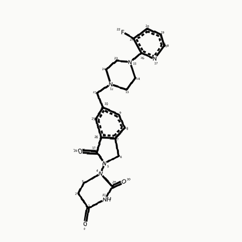 O=C1CCN(N2Cc3ccc(CN4CCN(c5ncccc5F)CC4)cc3C2=O)C(=O)N1